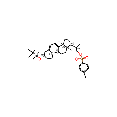 Cc1ccc(S(=O)(=O)OC[C@H](C)[C@H]2CC[C@H]3C4=CC=C5C[C@@H](O[Si](C)(C)C(C)(C)C)CC[C@]5(C)[C@H]4CC[C@]23C)cc1